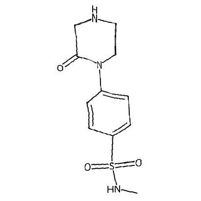 CNS(=O)(=O)c1ccc(N2CCNCC2=O)cc1